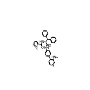 CNc1cnccc1-c1ccc(NC(=O)C(NC(=O)c2ccnn2C)C(c2ccccc2)c2ccccc2)cc1